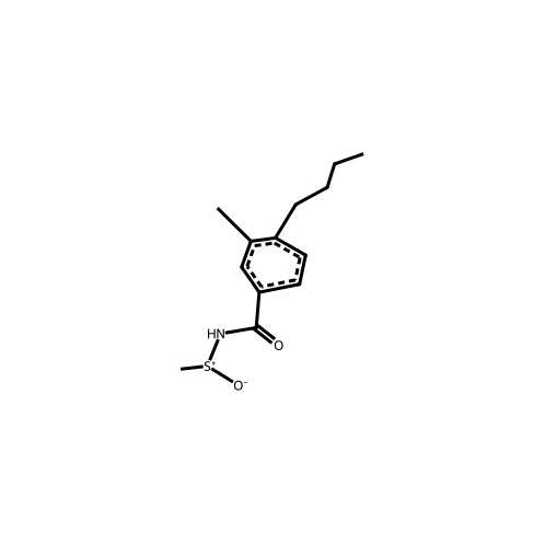 CCCCc1ccc(C(=O)N[S+](C)[O-])cc1C